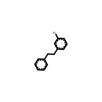 CCc1cccc(CCc2cc[c]cc2)c1